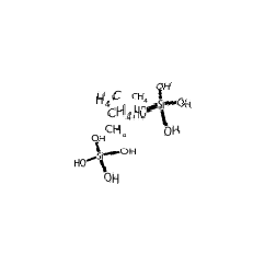 C.C.C.C.O[Si](O)(O)O.O[Si](O)(O)O